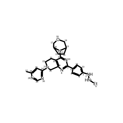 CCNNc1ccc(-c2nc3c(c(N4C5CCC4COC5)n2)CCN(c2cc(C)ncn2)C3)cc1